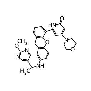 COc1ncc(C(C)Nc2ccc3c(c2)Cc2cccc(-c4cc(N5CCOCC5)cc(=O)[nH]4)c2O3)cn1